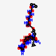 CCc1cc(OCCCCNC(=O)[C@H](CO)NC(=O)CNC(=O)CNC(=O)CNC(=O)CNC(=O)CCC(=O)N2Cc3ccccc3C#Cc3ccccc32)ccc1-c1ccc(C[C@H](NC(=O)[C@H](CC(=O)O)NC(=O)[C@H](CO)NC(=O)[C@@H](NC(=O)[C@](C)(Cc2ccccc2F)NC(=O)[C@@H](NC(=O)CNC(=O)[C@H](Cc2nn[nH]n2)NC(=O)C(C)(C)C(N)=O)[C@@H](C)O)[C@@H](C)O)C(=O)N[C@@H](CCCc2cc(C)cc(C)c2)C(N)=O)cc1